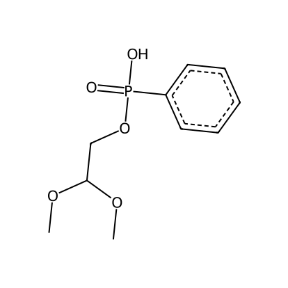 COC(COP(=O)(O)c1ccccc1)OC